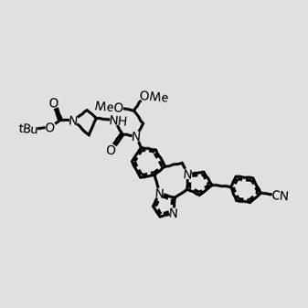 COC(CN(C(=O)NC1CN(C(=O)OC(C)(C)C)C1)c1ccc2c(c1)Cn1cc(-c3ccc(C#N)cc3)cc1-c1nccn1-2)OC